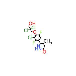 CC1CC(=O)NN=C1c1cc(F)c(OCC(Cl)(Cl)CO)c(Cl)c1F